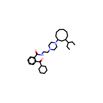 CCC(CC)C1CCCCCCC(N2CCN(CCNC(=O)c3ccccc3C(=O)C3CCCCC3)CC2)C1